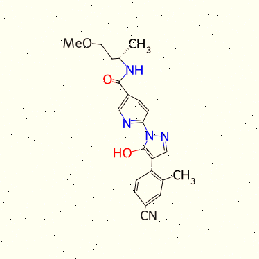 COCC[C@H](C)NC(=O)c1ccc(-n2ncc(-c3ccc(C#N)cc3C)c2O)nc1